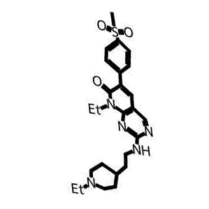 CCN1CCC(CCNc2ncc3cc(-c4ccc(S(C)(=O)=O)cc4)c(=O)n(CC)c3n2)CC1